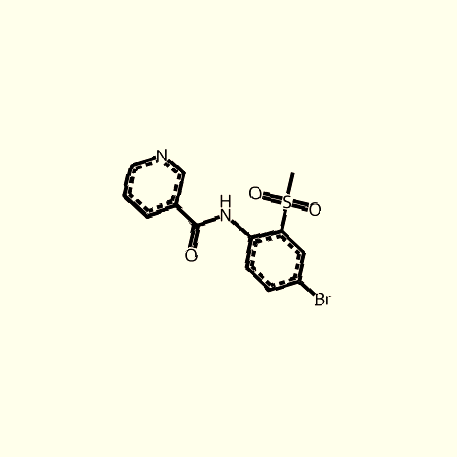 CS(=O)(=O)c1cc(Br)ccc1NC(=O)c1cccnc1